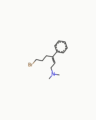 CN(C)CC=C(CCCBr)c1ccccc1